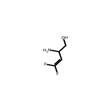 NC(C=C(F)F)CO